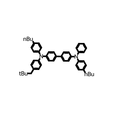 CCCCc1ccc(N(c2ccccc2)c2ccc(-c3ccc(N(c4ccc(CCCC)cc4)c4ccc(CC(C)(C)C)cc4)cc3)cc2)cc1